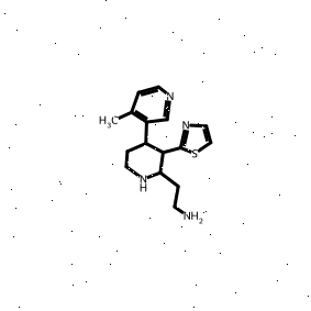 Cc1ccncc1C1CCNC(CCN)C1c1nccs1